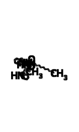 CCCCCCCCCCNC(=O)[C@H](Cc1cc2ccccc2[nH]1)NC(=O)[C@@H](C)Cc1c[nH]c2ccccc12